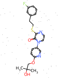 CC(C)(O)COc1ccc(-n2ccnc(SCCc3cccc(F)c3)c2=O)cn1